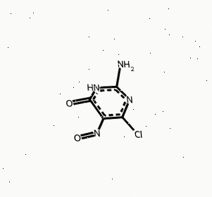 Nc1nc(Cl)c(N=O)c(=O)[nH]1